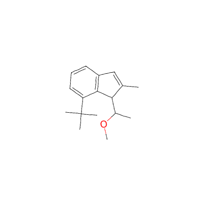 COC(C)C1C(C)=Cc2cccc(C(C)(C)C)c21